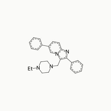 CCN1CCN(Cc2c(-c3ccccc3)nc3ccc(-c4ccccc4)cn23)CC1